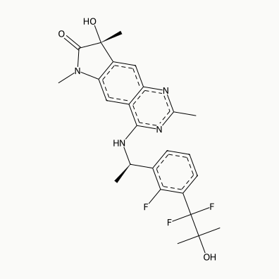 Cc1nc(N[C@H](C)c2cccc(C(F)(F)C(C)(C)O)c2F)c2cc3c(cc2n1)[C@@](C)(O)C(=O)N3C